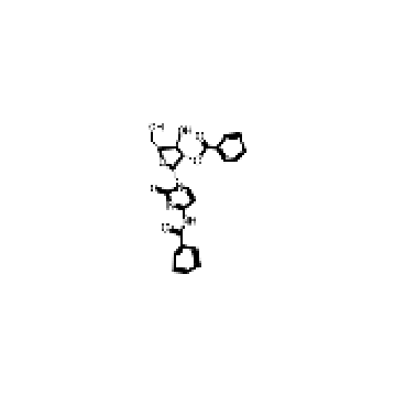 O=C(Nc1ccn([C@@H]2O[C@H](CO)[C@@H](O)[C@@H]2OC(=O)c2ccccc2)c(=O)n1)c1ccccc1